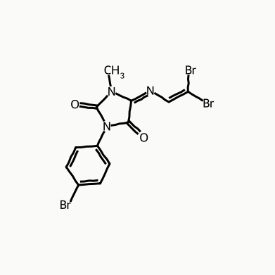 CN1C(=O)N(c2ccc(Br)cc2)C(=O)C1=NC=C(Br)Br